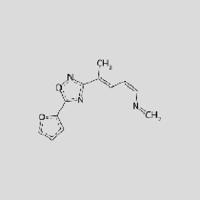 C=N/C=C\C=C(/C)c1noc(-c2ccco2)n1